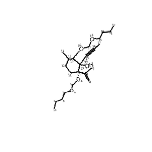 C=C(C)[C@@]1(OCOCCCC)CCC(C)C(OCOCCCC)C1(O)C#CC